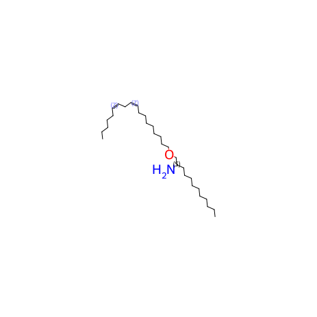 CCCCC/C=C\C/C=C\CCCCCCCCOC[C@@H](N)CCCCCCCCCC